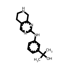 CC(C)(O)c1cccc(Nc2ncc3c(n2)CNCC3)c1